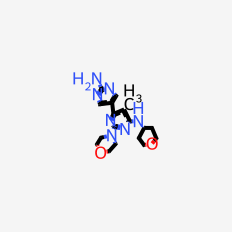 Cc1c(NC2CCOCC2)nc(N2CCOCC2)nc1-c1cnc(N)nc1